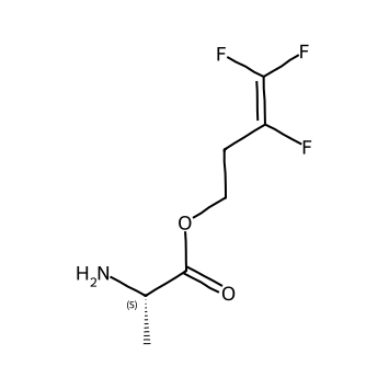 C[C@H](N)C(=O)OCCC(F)=C(F)F